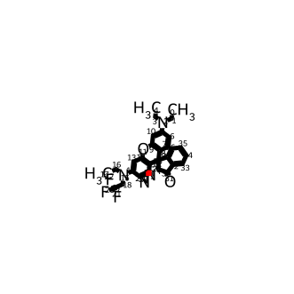 CCN(CC)c1ccc2c(c1)Oc1cc(N(CC)CC(F)(F)F)ccc1C21C(=[N+]=[N-])C(=O)c2ccccc21